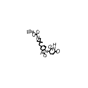 Cn1c(=O)n(C2CCC(=O)NC2=O)c2ccc(CC3(C)CN(C(=O)OC(C)(C)C)C3)cc21